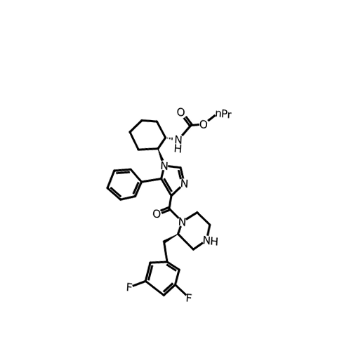 CCCOC(=O)N[C@H]1CCCC[C@@H]1n1cnc(C(=O)N2CCNC[C@H]2Cc2cc(F)cc(F)c2)c1-c1ccccc1